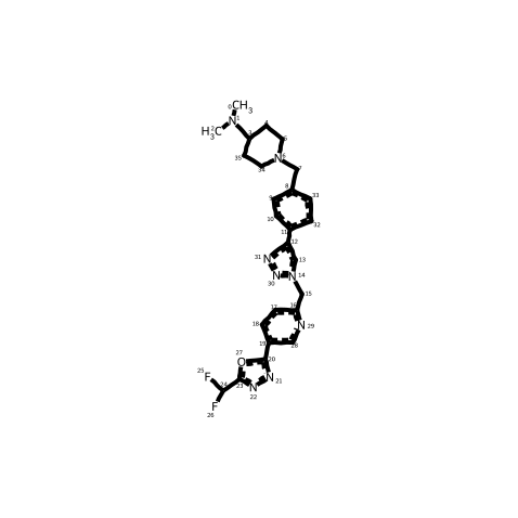 CN(C)C1CCN(Cc2ccc(-c3cn(Cc4ccc(-c5nnc(C(F)F)o5)cn4)nn3)cc2)CC1